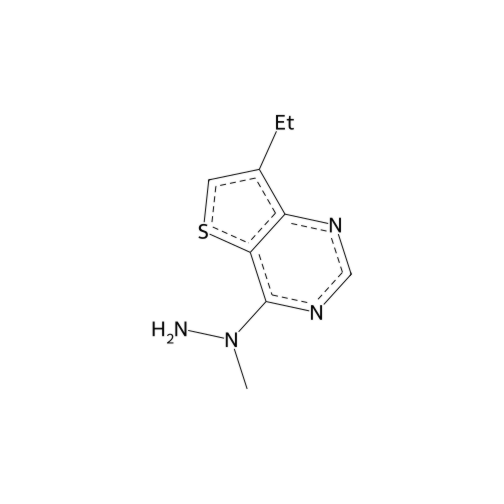 CCc1csc2c(N(C)N)ncnc12